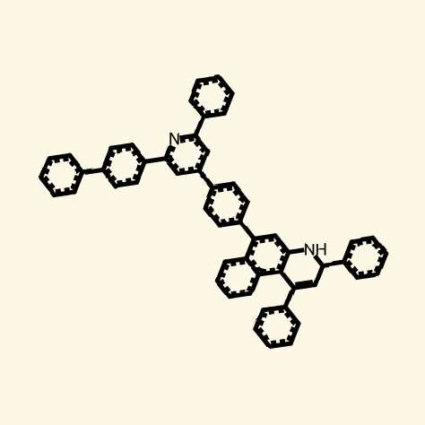 C1=C(c2ccccc2)c2c(cc(-c3ccc(-c4cc(-c5ccccc5)nc(-c5ccc(-c6ccccc6)cc5)c4)cc3)c3ccccc23)NC1c1ccccc1